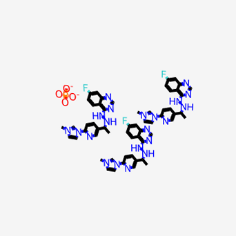 CC(NNc1ncnc2cc(F)ccc12)c1ccc(-n2cc[n+](C)c2)nc1.CC(NNc1ncnc2cc(F)ccc12)c1ccc(-n2cc[n+](C)c2)nc1.CC(NNc1ncnc2cc(F)ccc12)c1ccc(-n2cc[n+](C)c2)nc1.O=P([O-])([O-])[O-]